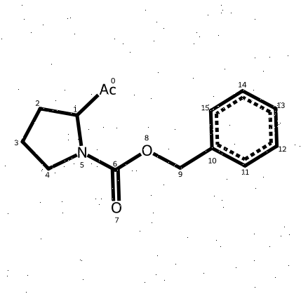 CC(=O)C1CCCN1C(=O)OCc1ccccc1